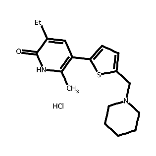 CCc1cc(-c2ccc(CN3CCCCC3)s2)c(C)[nH]c1=O.Cl